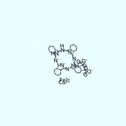 O=S(=O)([O-])c1ccc2c3[n-]c4[n-]c([n-]c5[nH]c([nH]c6nc(nc([nH]3)c2c1S(=O)(=O)[O-])-c1ccccc1-6)c1ccccc51)c1ccccc41.[Co+2].[Fe+3]